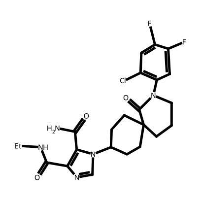 CCNC(=O)c1ncn(C2CCC3(CCCN(c4cc(F)c(F)cc4Cl)C3=O)CC2)c1C(N)=O